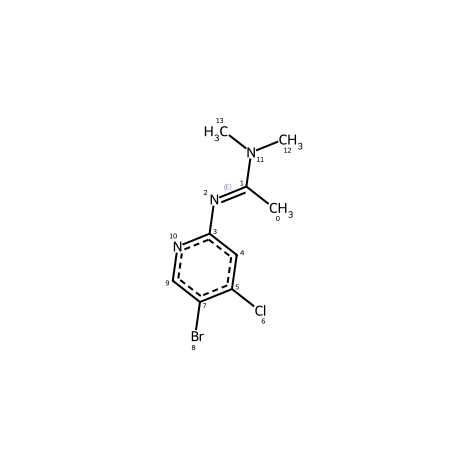 C/C(=N\c1cc(Cl)c(Br)cn1)N(C)C